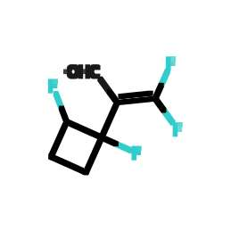 O=[C]C(=C(F)F)C1(F)CCC1F